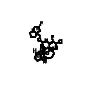 CC(C)(C)OC(=O)N1[C@@H]2CC[C@H]1[C@H]1CCCc3nc(Cl)c(F)c4nc(OC[C@@]56CCCN5C[C@H](F)C6)nc(c34)N1C2